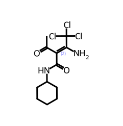 CC(=O)/C(C(=O)NC1CCCCC1)=C(/N)C(Cl)(Cl)Cl